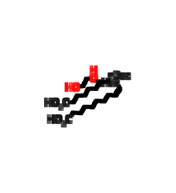 CCCCCC/C=C\CCCCCCCC(=O)O.CCCCCCCCCCCCCCCCCC(=O)O.OCCO